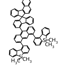 C[Si]1(C)c2ccccc2-c2c(-c3cccc4c(-c5cccc6c5-c5ccccc5C65c6ccccc6-c6c5ccc5ccccc65)c5cccc(-c6cccc7c6-c6ccccc6[Si]7(C)C)c5cc34)cccc21